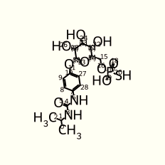 CC(C)NC(=O)Nc1ccc(O[C@H]2O[C@H](COP(=O)(O)S)[C@@H](O)[C@H](O)[C@@H]2O)cc1